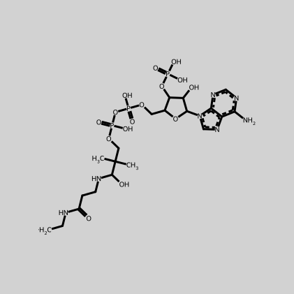 [CH2]CNC(=O)CCNC(O)C(C)(C)COP(=O)(O)OP(=O)(O)OCC1OC(n2cnc3c(N)ncnc32)C(O)C1OP(=O)(O)O